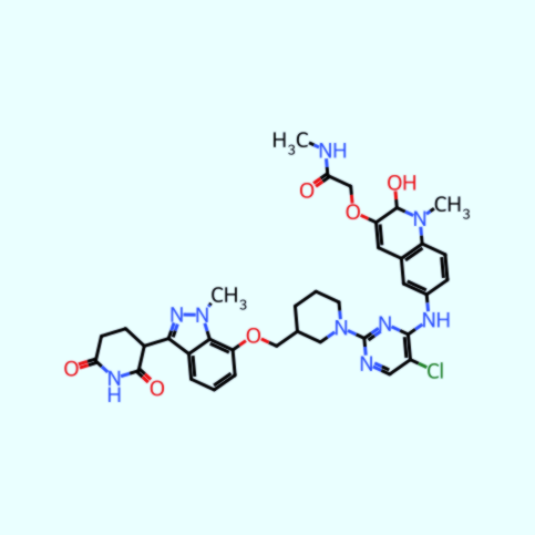 CNC(=O)COC1=Cc2cc(Nc3nc(N4CCCC(COc5cccc6c(C7CCC(=O)NC7=O)nn(C)c56)C4)ncc3Cl)ccc2N(C)C1O